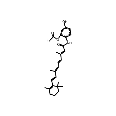 CCC(=O)Oc1cc(O)ccc1NC(=O)/C=C(C)/C=C/C=C(C)/C=C/C1=C(C)CCCC1(C)C